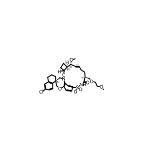 COCCOC[C@@H]1CC/C=C/[C@@H](OC)[C@@H]2CC[C@H]2CN2C[C@@]3(CCCc4cc(Cl)ccc43)COc3ccc(cc32)S(=O)(=O)NC1=O